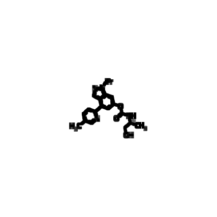 Cc1ccc(-c2cc(OC(=O)N[C@@H](C)CO)cc3c2cnn3C(C)C)nc1